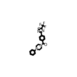 O=C(c1ccc(-c2noc(C(F)(F)F)n2)cc1)N1CCN(c2ccccc2)CC1